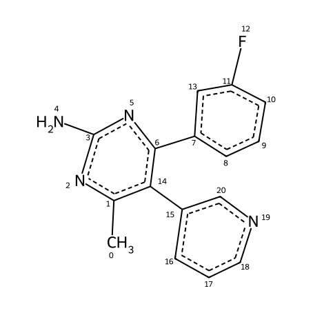 Cc1nc(N)nc(-c2cccc(F)c2)c1-c1cccnc1